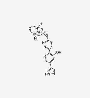 Oc1cc(-c2cn[nH]c2)ccc1-c1ccc(O[C@@H]2C[C@H]3COC[C@@H](C2)N3)nn1